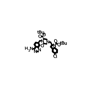 CC(C)(C)OC(=O)[C@@H]1CN(Cc2cc3cc(Cl)ccc3n2C(=O)OC(C)(C)C)CC(=O)N1Cc1ccc2c(N)ncnc2c1